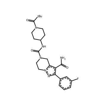 CC(C)(C)C(=O)N1CCC(NC(=O)N2CCn3nc(-c4cccc(F)c4)c(C(N)=O)c3C2)CC1